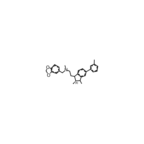 Cc1cccc(-c2ccc3c(c2)C(C)[C@@H](C)C3CCN(C)Cc2ccc3c(c2)OCO3)c1